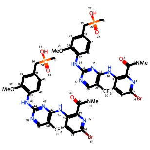 CNC(=O)c1nc(Br)ccc1Nc1nc(Nc2ccc(CP(C)(=O)O)cc2OC)ncc1C(F)(F)F.CNC(=O)c1nc(Br)ccc1Nc1nc(Nc2ccc(CP(C)(=O)O)cc2OC)ncc1C(F)(F)F